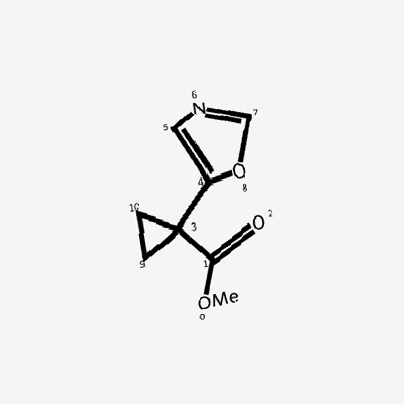 COC(=O)C1(c2cnco2)CC1